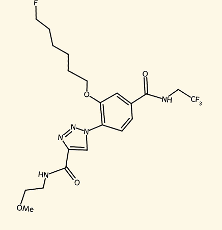 COCCNC(=O)c1cn(-c2ccc(C(=O)NCC(F)(F)F)cc2OCCCCCCF)nn1